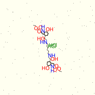 CCOC(=O)Oc1cc2c(C(O)CNCCCCCCNCC(O)c3ccc(O)c4[nH]c(OC(=O)OCC)cc34)ccc(O)c2[nH]1.Cl.Cl